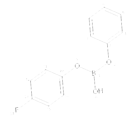 OB(Oc1ccccc1)Oc1ccc(F)cc1